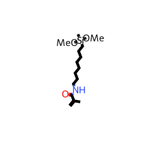 C=C(C)C(=O)NCCCCCCCC[Si](C)(OC)OC